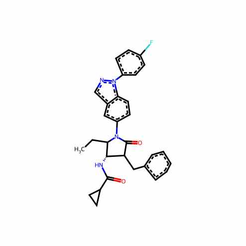 CCC1[C@@H](NC(=O)C2CC2)C(Cc2ccccc2)C(=O)N1c1ccc2c(cnn2-c2ccc(F)cc2)c1